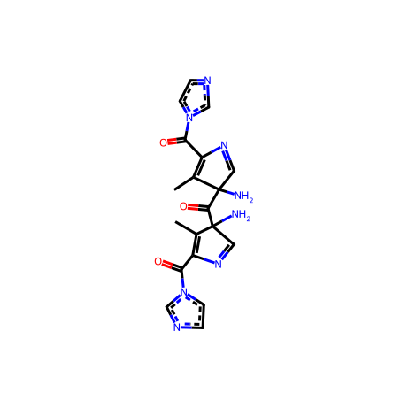 CC1=C(C(=O)n2ccnc2)N=CC1(N)C(=O)C1(N)C=NC(C(=O)n2ccnc2)=C1C